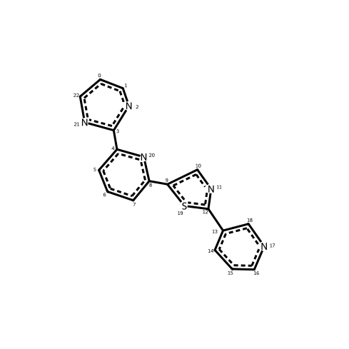 c1cnc(-c2cccc(-c3cnc(-c4cccnc4)s3)n2)nc1